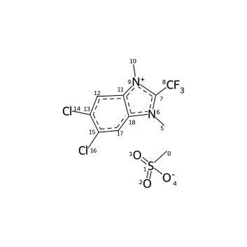 CS(=O)(=O)[O-].Cn1c(C(F)(F)F)[n+](C)c2cc(Cl)c(Cl)cc21